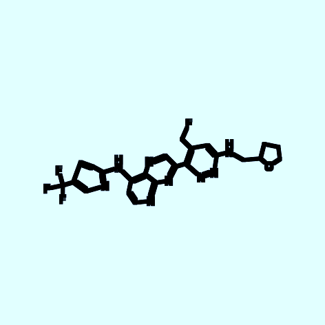 FCc1cc(NCC2CCCO2)nnc1-c1cnc2c(Nc3ccc(C(F)(F)F)cn3)ccnc2n1